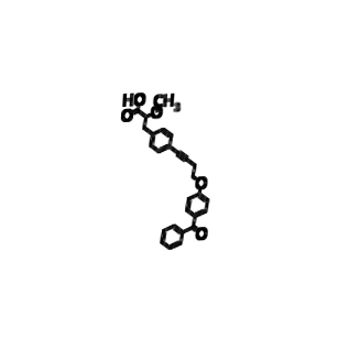 COC(Cc1ccc(C#CCCOc2ccc(C(=O)c3ccccc3)cc2)cc1)C(=O)O